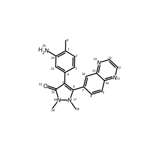 Cc1ccc(-c2c(-c3ccc4nccnc4c3)n(C)n(C)c2=O)cc1N